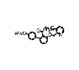 COC(=O)c1c(OCc2ncccc2C)cccc1-c1ccc(OC)cc1